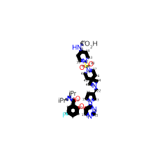 CC(C)N(C(=O)c1cc(F)ccc1Oc1cncnc1N1CC[C@@H](CN2CC3(CCN(S(=O)(=O)N4CCC(NC(=O)O)CC4)CC3)C2)C1)C(C)C